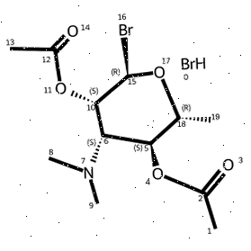 Br.CC(=O)O[C@H]1[C@H](N(C)C)[C@H](OC(C)=O)[C@@H](Br)O[C@@H]1C